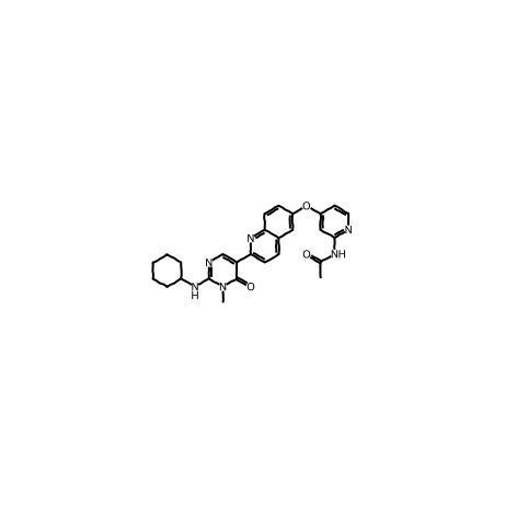 CC(=O)Nc1cc(Oc2ccc3nc(-c4cnc(NC5CCCCC5)n(C)c4=O)ccc3c2)ccn1